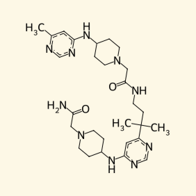 Cc1cc(NC2CCN(CC(=O)NCCC(C)(C)c3cc(NC4CCN(CC(N)=O)CC4)ncn3)CC2)ncn1